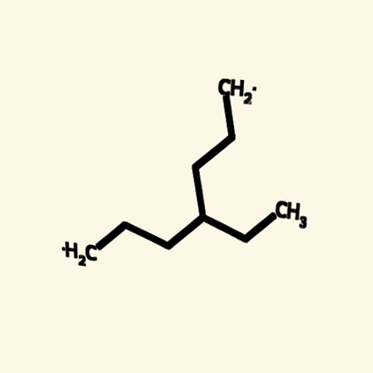 [CH2]CCC(CC)CC[CH2]